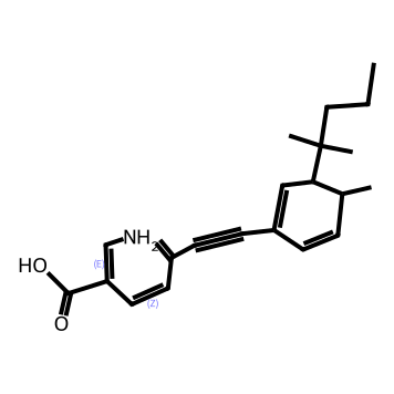 C=C(C#CC1=CC(C(C)(C)CCC)C(C)C=C1)/C=C\C(=C/N)C(=O)O